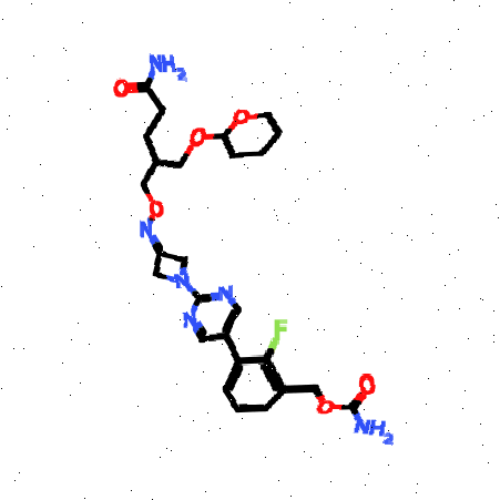 NC(=O)CCC(CON=C1CN(c2ncc(-c3cccc(COC(N)=O)c3F)cn2)C1)COC1CCCCO1